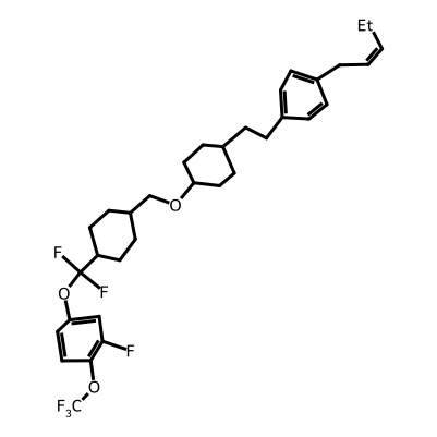 CC/C=C\Cc1ccc(CCC2CCC(OCC3CCC(C(F)(F)Oc4ccc(OC(F)(F)F)c(F)c4)CC3)CC2)cc1